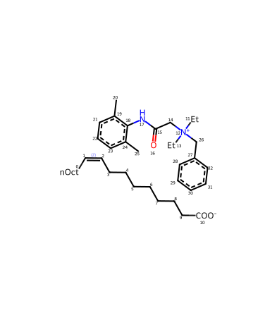 CCCCCCCC/C=C\CCCCCCCC(=O)[O-].CC[N+](CC)(CC(=O)Nc1c(C)cccc1C)Cc1ccccc1